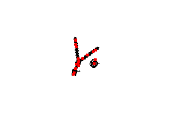 CCCCCCCCCCCCCCCCCCN(CCCCCCCCCCCCCCCCCC)c1ccc(C#Cc2cc[n+](CC)cc2)cc1.CCOS(=O)(=O)[O-]